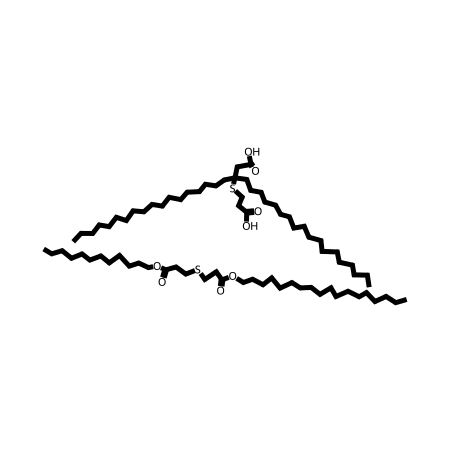 CCCCCCCCCCCCCCCCCCC(CCCCCCCCCCCCCCCCCC)(CC(=O)O)SCCC(=O)O.CCCCCCCCCCCCCCCCCCOC(=O)CCSCCC(=O)OCCCCCCCCCCCC